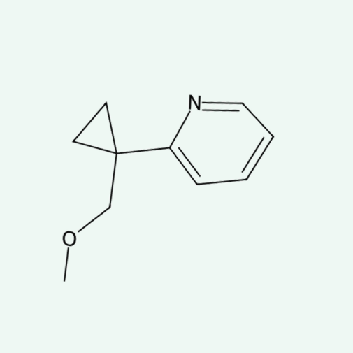 COCC1(c2ccccn2)CC1